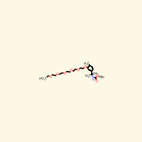 Cc1ccc(C(C)(C)NC(=O)OC(C)(C)C)cc1OCCOCCOCCOCCOCCOCC(=O)O